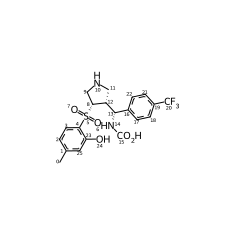 Cc1ccc(S(=O)(=O)[C@@H]2CNC[C@@H]2[C@@H](NC(=O)O)c2ccc(C(F)(F)F)cc2)c(O)c1